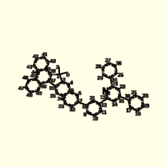 CC1(C)c2cc3cc(-c4cccc(-c5cc(-c6ccccc6)cc(-c6ccccc6)n5)c4)ccc3cc2-c2c1c1ccccc1c1ccccc21